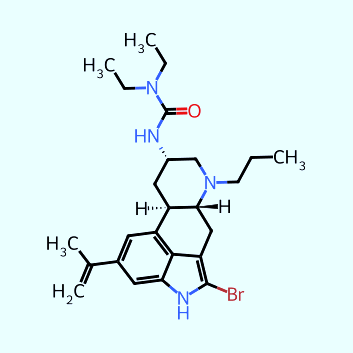 C=C(C)c1cc2c3c(c(Br)[nH]c3c1)C[C@@H]1[C@@H]2C[C@H](NC(=O)N(CC)CC)CN1CCC